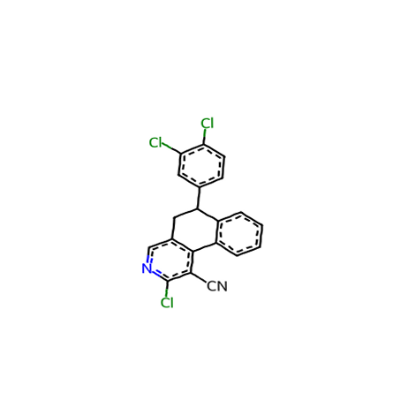 N#Cc1c(Cl)ncc2c1-c1ccccc1C(c1ccc(Cl)c(Cl)c1)C2